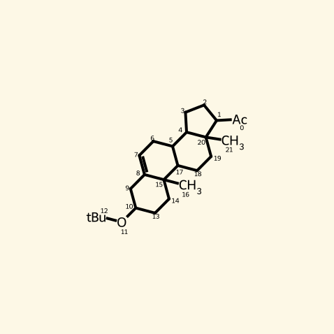 CC(=O)C1CCC2C3CC=C4CC(OC(C)(C)C)CCC4(C)C3CCC12C